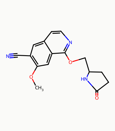 COc1cc2c(OCC3CCC(=O)N3)nccc2cc1C#N